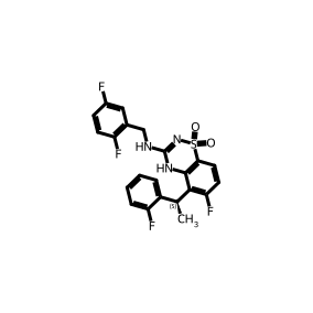 C[C@@H](c1ccccc1F)c1c(F)ccc2c1NC(NCc1cc(F)ccc1F)=NS2(=O)=O